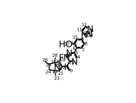 C=C(c1ncc(-c2ccc(-n3ccnn3)cc2O)nn1)[C@H]1C[C@]2(C)CC(C)[C@@](C)(N2)[C@@H]1F